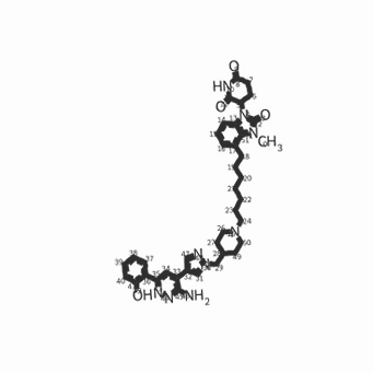 Cn1c(=O)n(C2CCC(=O)NC2=O)c2cccc(CCCCCCCN3CCC(Cn4cc(-c5cc(-c6ccccc6O)nnc5N)cn4)CC3)c21